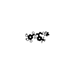 COc1cc(C(=O)NCC(CCO[Si](C)(C)C(C)(C)C)c2cccc(C(F)(F)F)c2)cc(OC)c1OC